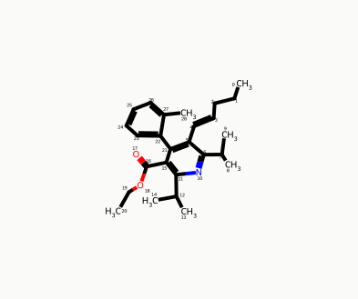 CCC/C=C/c1c(C(C)C)nc(C(C)C)c(C(=O)OCC)c1-c1ccccc1C